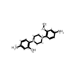 CCOc1cc(N)ccc1N1CCN(c2ccc(N)cc2O)CC1